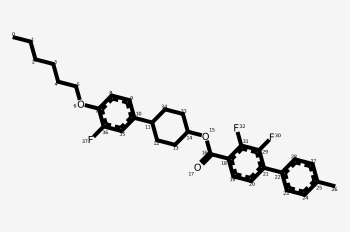 CCCCCCOc1ccc(C2CCC(OC(=O)c3ccc(-c4ccc(C)cc4)c(F)c3F)CC2)cc1F